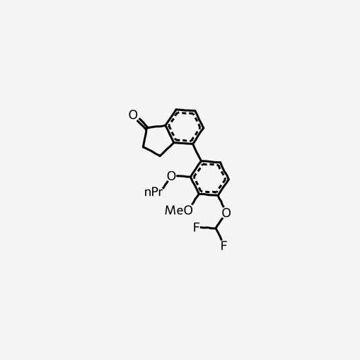 CCCOc1c(-c2cccc3c2CCC3=O)ccc(OC(F)F)c1OC